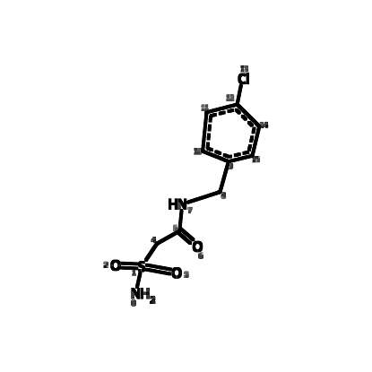 NS(=O)(=O)CC(=O)NCc1ccc(Cl)cc1